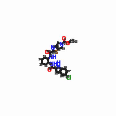 CC(C)(C)OC(=O)N1Cc2nc(C(=O)N[C@@H]3CCCC[C@@H]3NC(=O)c3cc4cc(Cl)ccc4[nH]3)sc2C1